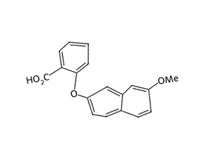 COc1ccc2ccc(Oc3ccccc3C(=O)O)cc2c1